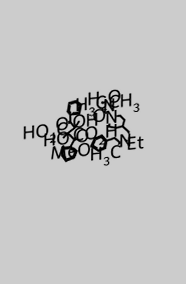 CCN(CC1CCN(C(=O)N(C)C)CC1)C(C)Cc1ccc(OC)cc1.O.O=C(O)C(O)(C(=O)c1ccccc1)C(O)(C(=O)O)C(=O)c1ccccc1